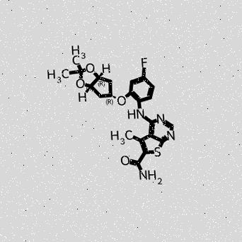 Cc1c(C(N)=O)sc2ncnc(Nc3ccc(F)cc3O[C@@H]3C[C@@H]4OC(C)(C)O[C@@H]4C3)c12